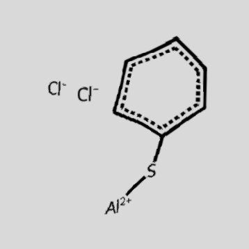 [Al+2][S]c1ccccc1.[Cl-].[Cl-]